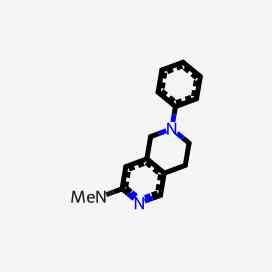 CNc1cc2c(cn1)CCN(c1ccccc1)C2